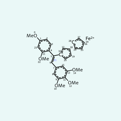 COc1ccc(/C(=C/c2cc(OC)c(OC)c(OC)c2)[c-]2cccc2)c(OC)c1.[Fe+2].c1cc[cH-]c1